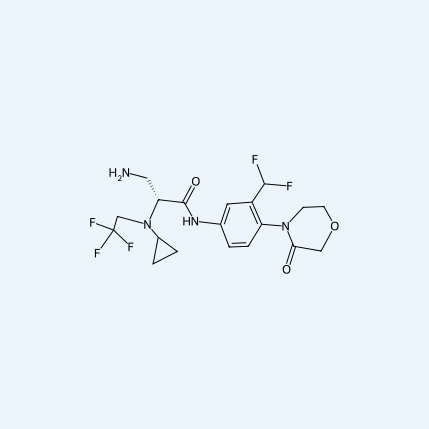 NC[C@H](C(=O)Nc1ccc(N2CCOCC2=O)c(C(F)F)c1)N(CC(F)(F)F)C1CC1